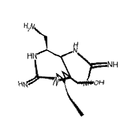 C[C@H]1CN2C(=N)N[C@@H](CN)C3NC(=N)NC32[C@@H]1O